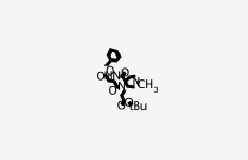 CN1CCC2(CC1)C(=O)NC(CC(=O)OCc1ccccc1)C(=O)N2CCC(=O)OC(C)(C)C